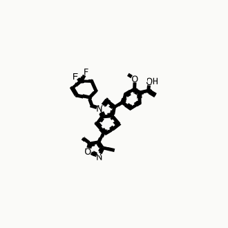 C=C(O)c1ccc(-c2cn(CC3CCC(F)(F)CC3)c3cc(-c4c(C)noc4C)ccc23)cc1OC